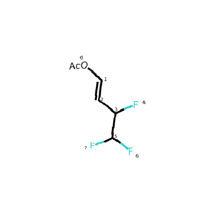 CC(=O)OC=CC(F)C(F)F